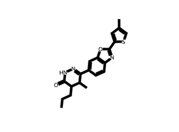 CCCC1C(=O)NN=C(c2ccc3nc(-c4cc(C)cs4)oc3c2)C1C